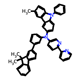 Cc1ccc2c(c1)c1cc(N(c3ccc(-c4ccccn4)nc3)c3cccc(-c4ccc5c(c4)C(C)(C)c4ccccc4-5)c3)ccc1n2-c1ccccc1